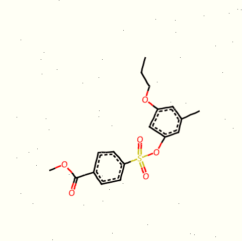 CCCOc1cc(C)cc(OS(=O)(=O)c2ccc(C(=O)OC)cc2)c1